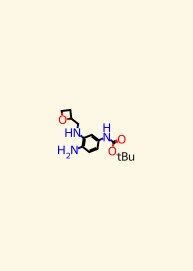 CC(C)(C)OC(=O)Nc1ccc(N)c(NCC2CCO2)c1